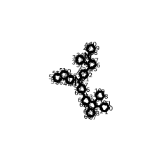 c1ccc(-c2c(-c3ccccc3)c3cc(-c4ccc(N(c5ccc(-c6cccc7c6c6ccccc6n7-c6ccccc6)cc5)c5ccc6c(ccc7ccccc76)c5)cc4)ccc3c3ccccc23)cc1